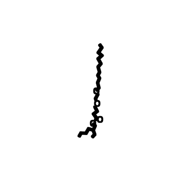 CCCCCCCCCCCCOCCOCCCC(=O)OCC(CC)CCCC